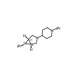 CC(C)[C@H]1[C@@H]2CN(C3CCN(C(C)C)CC3)C[C@@H]21